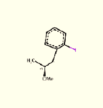 CO[C@@H](C)[CH]c1ccccc1I